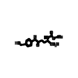 CC(C)(C)OC(=O)NC(CCC(=O)Nc1ccc(CO)cc1)C(=O)O